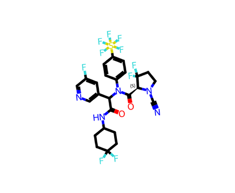 N#CN1CCC(F)(F)[C@@H]1C(=O)N(c1ccc(S(F)(F)(F)(F)F)cc1)C(C(=O)NC1CCC(F)(F)CC1)c1cncc(F)c1